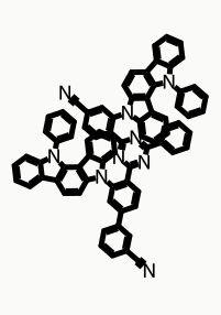 N#Cc1cccc(-c2ccc(-c3nc(-c4ccccc4)nc(-c4ccc(C#N)cc4-n4c5ccccc5c5c4ccc4c6ccccc6n(-c6ccccc6)c45)n3)c(-n3c4ccccc4c4c3ccc3c5ccccc5n(-c5ccccc5)c34)c2)c1